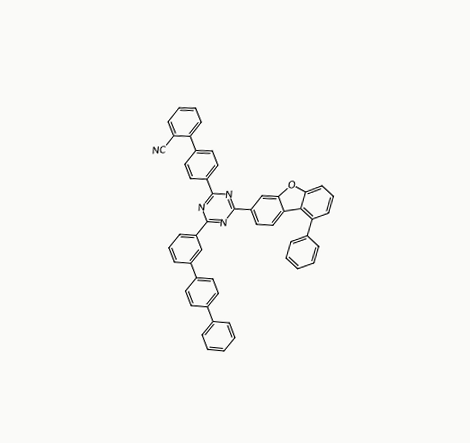 N#Cc1ccccc1-c1ccc(-c2nc(-c3cccc(-c4ccc(-c5ccccc5)cc4)c3)nc(-c3ccc4c(c3)oc3cccc(-c5ccccc5)c34)n2)cc1